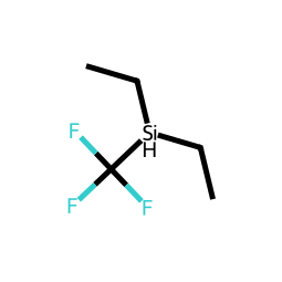 CC[SiH](CC)C(F)(F)F